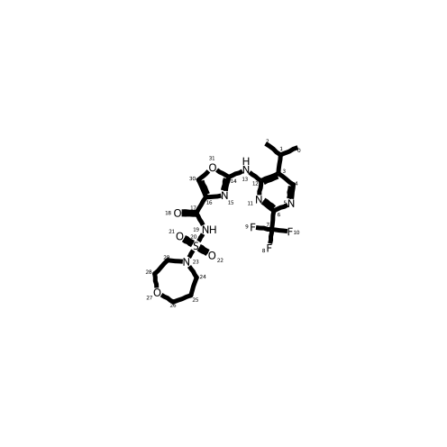 CC(C)c1cnc(C(F)(F)F)nc1Nc1nc(C(=O)NS(=O)(=O)N2CCCOCC2)co1